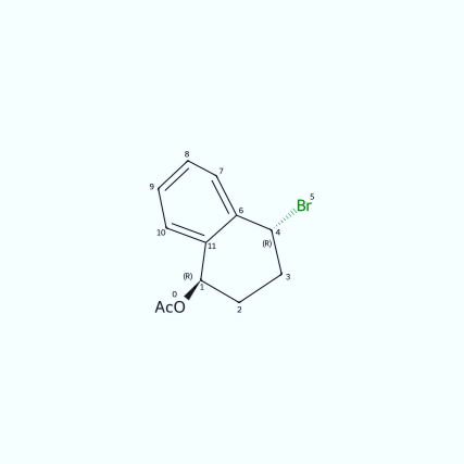 CC(=O)O[C@@H]1CC[C@@H](Br)c2ccccc21